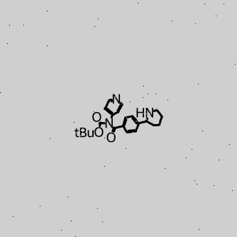 CC(C)(C)OC(=O)N(C(=O)c1ccc(C2CCCCN2)cc1)c1ccncc1